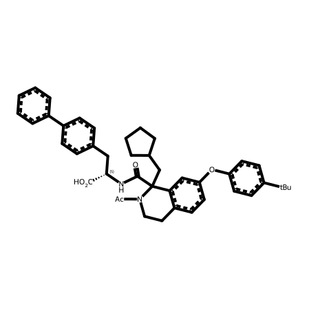 CC(=O)N1CCc2ccc(Oc3ccc(C(C)(C)C)cc3)cc2C1(CC1CCCC1)C(=O)N[C@@H](Cc1ccc(-c2ccccc2)cc1)C(=O)O